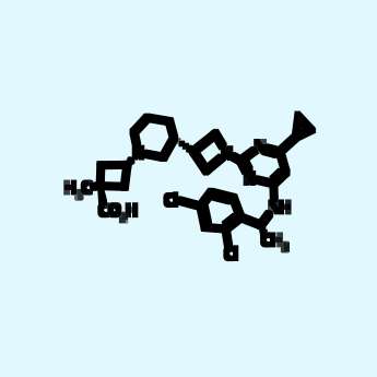 C[C@@H](Nc1cc(C2CC2)nc(N2CC([C@H]3CCCN([C@H]4C[C@](C)(C(=O)O)C4)C3)C2)n1)c1ccc(Cl)cc1Cl